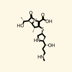 CNCC[C@@H](O)[C@@H]1C[C@H](SC2=C(C(=O)O)N3C(=O)[C@H]([C@@H](C)O)C3[C@H]2C)CN1